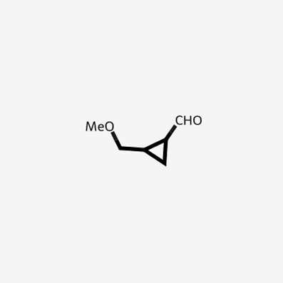 COCC1CC1C=O